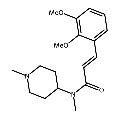 COc1cccc(C=CC(=O)N(C)C2CCN(C)CC2)c1OC